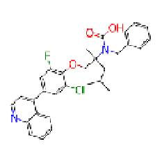 CC(C)CC(C)(COc1c(F)cc(-c2ccnc3ccccc23)cc1Cl)N(Cc1ccccc1)C(=O)O